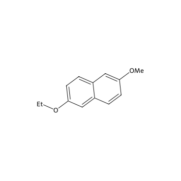 CCOc1ccc2cc(OC)ccc2c1